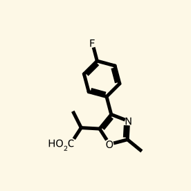 Cc1nc(-c2ccc(F)cc2)c(C(C)C(=O)O)o1